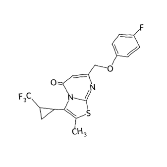 Cc1sc2nc(COc3ccc(F)cc3)cc(=O)n2c1C1CC1C(F)(F)F